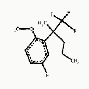 CCCC(C)(c1cc(F)ccc1OC)C(F)(F)F